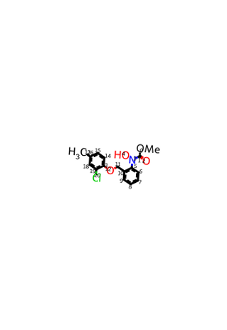 COC(=O)N(O)c1ccccc1COc1ccc(C)cc1Cl